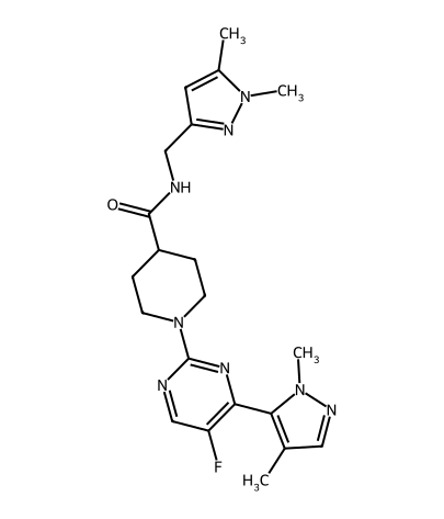 Cc1cnn(C)c1-c1nc(N2CCC(C(=O)NCc3cc(C)n(C)n3)CC2)ncc1F